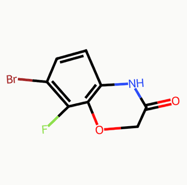 O=C1COc2c(ccc(Br)c2F)N1